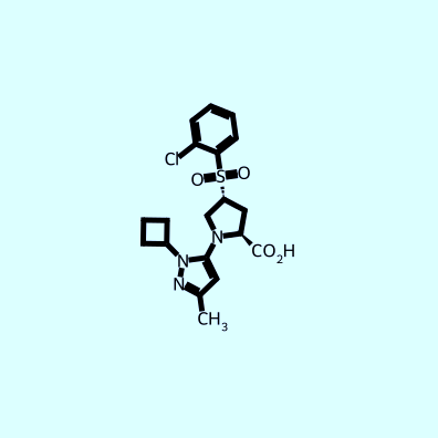 Cc1cc(N2C[C@H](S(=O)(=O)c3ccccc3Cl)C[C@H]2C(=O)O)n(C2CCC2)n1